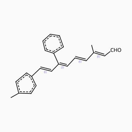 CC(/C=C/C=C(/C=C/c1ccc(C)cc1)c1ccccc1)=C\C=O